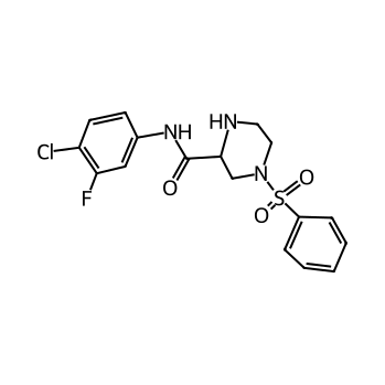 O=C(Nc1ccc(Cl)c(F)c1)C1CN(S(=O)(=O)c2ccccc2)CCN1